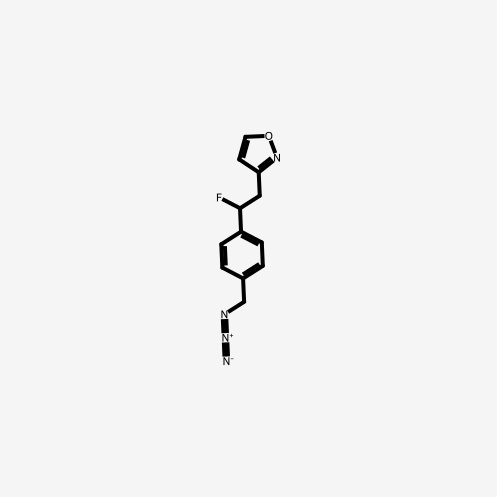 [N-]=[N+]=NCc1ccc(C(F)Cc2ccon2)cc1